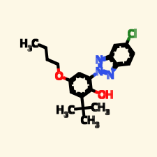 CCCCOc1cc(-n2nc3ccc(Cl)cc3n2)c(O)c(C(C)(C)C)c1